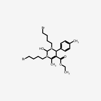 CCOC(=O)C1=C(C)N(CCCCBr)C(O)N(CCCCBr)C1c1ccc(C)cc1